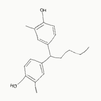 CCCCC(c1ccc(O)c(C)c1)c1ccc(O)c(C)c1